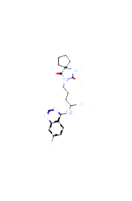 CC(CCCN1C(=O)NC2(CCCC2)C1=O)Nc1ncnc2cc(Cl)ccc12